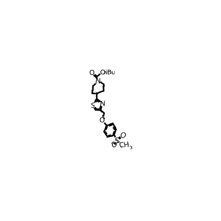 CC(C)COC(=O)N1CCC(c2nc(COc3ccc(S(C)(=O)=O)cc3)cs2)CC1